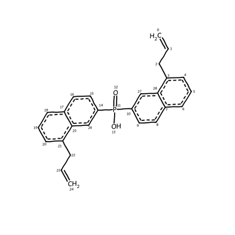 C=CCc1cccc2ccc(P(=O)(O)c3ccc4cccc(CC=C)c4c3)cc12